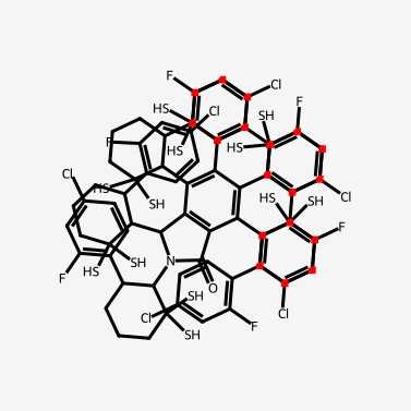 O=C1c2c(c(C3C(c4ccc(Cl)cc4F)CCCC3(S)S)c(C3C(c4ccc(Cl)cc4F)CCCC3(S)S)c(C3C(c4ccc(Cl)cc4F)CCCC3(S)S)c2C2C(c3ccc(Cl)cc3F)CCCC2(S)S)C(C2C(c3ccc(Cl)cc3F)CCCC2(S)S)N1C1C(c2ccc(Cl)cc2F)CCCC1(S)S